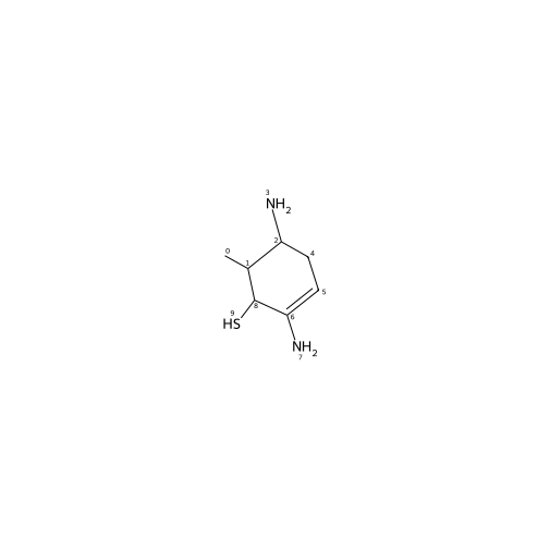 CC1C(N)CC=C(N)C1S